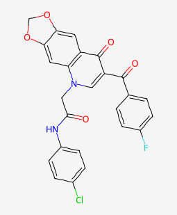 O=C(Cn1cc(C(=O)c2ccc(F)cc2)c(=O)c2cc3c(cc21)OCO3)Nc1ccc(Cl)cc1